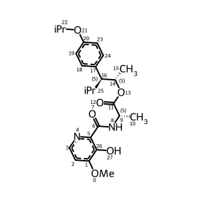 COc1ccnc(C(=O)N[C@@H](C)C(=O)O[C@@H](C)[C@H](c2ccc(OC(C)C)cc2)C(C)C)c1O